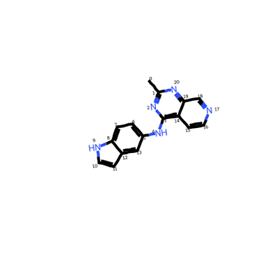 Cc1nc(Nc2ccc3[nH]ccc3c2)c2ccncc2n1